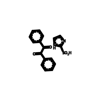 O=C(C(=O)c1ccccc1)c1ccccc1.O=S(=O)(O)c1ncc[nH]1